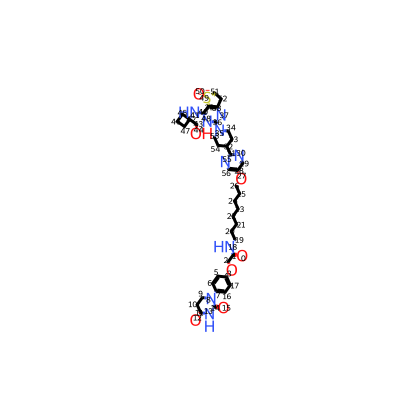 O=C(COc1ccc(N2CCC(=O)NC2=O)cc1)NCCCCCCCCOc1cnc(C2CCN(c3nc4c(c(NC5(CO)CCC5)n3)[S@+]([O-])CC4)CC2)nc1